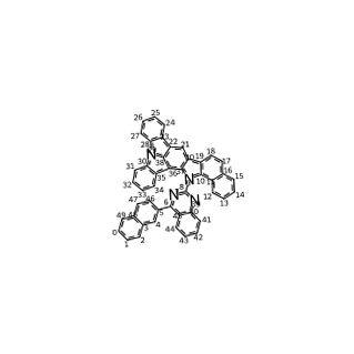 c1ccc2cc(-c3nc(-n4c5c6ccccc6ccc5c5cc6c7ccccc7n7c8ccccc8c(c54)c67)nc4ccccc34)ccc2c1